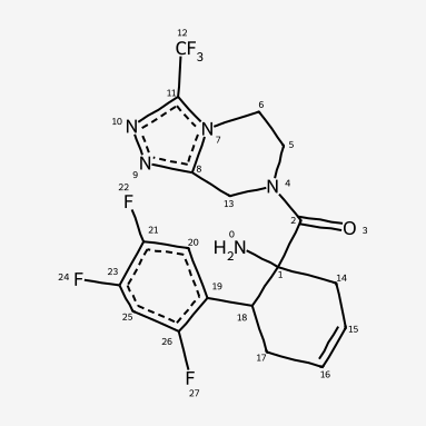 NC1(C(=O)N2CCn3c(nnc3C(F)(F)F)C2)CC=CCC1c1cc(F)c(F)cc1F